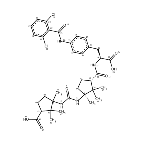 CC1(NC(=O)N[C@@]2(C)CC[C@H](C(=O)N[C@@H](Cc3ccc(NC(=O)c4c(Cl)cccc4Cl)cc3)C(=O)O)C2(C)C)CCC(C(=O)O)C1(C)C